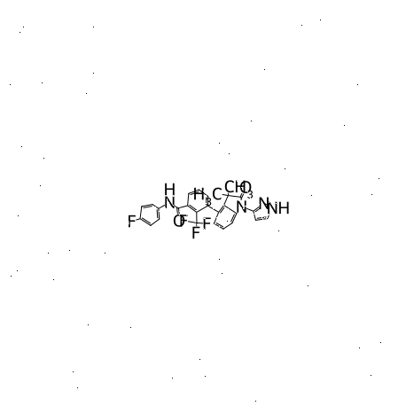 CC1(C)C(=O)N(c2cc[nH]n2)c2cccc(-c3cccc(C(=O)Nc4ccc(F)cc4)c3C(F)(F)F)c21